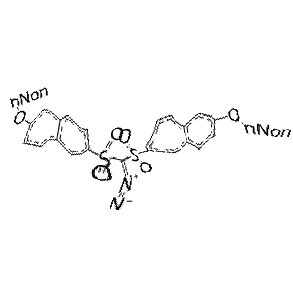 CCCCCCCCCOc1ccc2cc(S(=O)(=O)C(=[N+]=[N-])S(=O)(=O)c3ccc4cc(OCCCCCCCCC)ccc4c3)ccc2c1